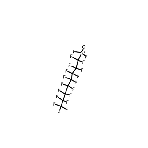 [O-][N+](F)(F)C(F)(F)C(F)(F)C(F)(F)C(F)(F)C(F)(F)C(F)(F)C(F)(F)C(F)(F)F